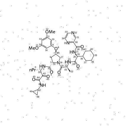 CCC[C@H](NC(=O)[C@@H]1C[C@@H](Oc2cc(OC)cc(OC)c2)CN1C(=O)[C@H](C)NC(=O)[C@@H](NC(=O)c1cnccn1)C1CCCCC1)C(=O)C(=O)NC1CC1